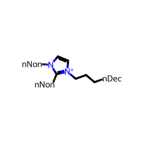 CCCCCCCCCCCCC[n+]1ccn(CCCCCCCCC)c1CCCCCCCCC